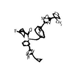 CC1(c2nc(C34CCC(CN(C(=O)C56CC(F)(C5)C6)c5cccc(-c6nc(C7CC7)no6)c5)(CC3)CC4)no2)COC1